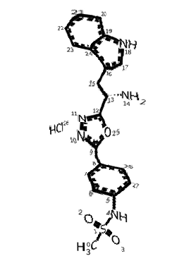 CS(=O)(=O)Nc1ccc(-c2nnc([C@@H](N)Cc3c[nH]c4ccccc34)o2)cc1.Cl